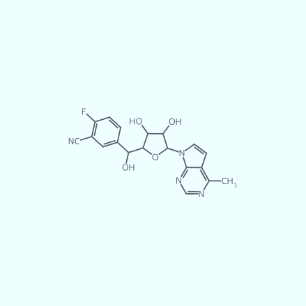 Cc1ncnc2c1ccn2C1OC(C(O)c2ccc(F)c(C#N)c2)C(O)C1O